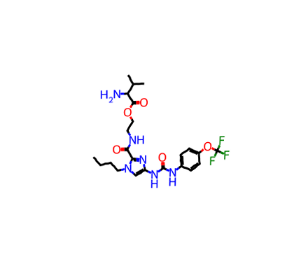 CCCCn1cc(NC(=O)Nc2ccc(OC(F)(F)F)cc2)nc1C(=O)NCCOC(=O)C(N)C(C)C